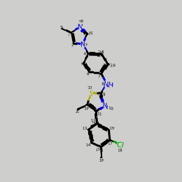 Cc1cn(-c2ccc(Nc3nc(-c4ccc(C)c(Cl)c4)c(C)s3)cc2)cn1